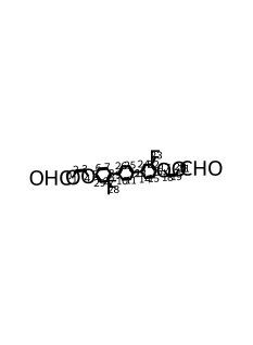 O=CO/C=C\Oc1ccc(-c2ccc(-c3ccc(O/C=C\OC=O)c(F)c3)cc2)c(F)c1